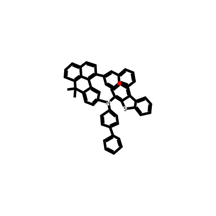 CC1(C)c2ccc(N(c3ccc(-c4ccccc4)cc3)c3cccc4c3sc3ccccc34)cc2-c2c(-c3ccc4ccccc4c3)ccc3cccc1c23